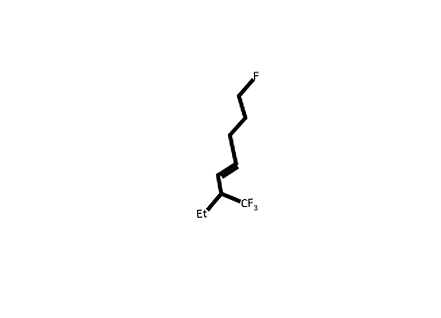 CCC(C=CCCCF)C(F)(F)F